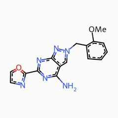 COc1ccccc1Cn1cc2c(N)nc(-c3ncco3)nc2n1